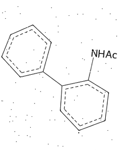 CC(=O)Nc1cc[c]cc1-c1ccccc1